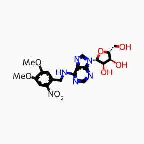 COc1cc(CNc2ncnc3c2ncn3[C@@H]2O[C@H](CO)[C@@H](O)[C@H]2O)c([N+](=O)[O-])cc1OC